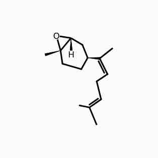 CC(C)=CC/C=C(/C)[C@H]1CC[C@]2(C)O[C@@H]2C1